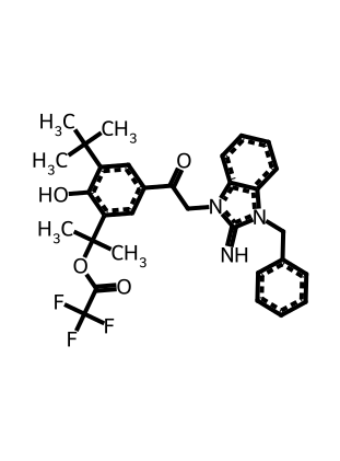 CC(C)(C)c1cc(C(=O)Cn2c(=N)n(Cc3ccccc3)c3ccccc32)cc(C(C)(C)OC(=O)C(F)(F)F)c1O